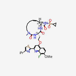 COc1ccc2c(OCC[C@@H]3NC(=O)N(C)CCCCC=C[C@@H]4C[C@@]4(C(=O)NS(=O)(=O)C4CC4)NC3=O)cc(-c3nc(C(C)C)cs3)nc2c1F